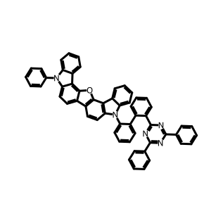 c1ccc(-c2nc(-c3ccccc3)nc(-c3ccccc3-c3ccccc3-n3c4ccccc4c4c5oc6c(ccc7c6c6ccccc6n7-c6ccccc6)c5ccc43)n2)cc1